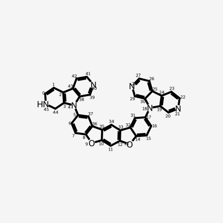 C1=Cc2c(n(-c3ccc4oc5cc6oc7ccc(-n8c9cnccc9c9ccncc98)cc7c6cc5c4c3)c3cnccc23)CN1